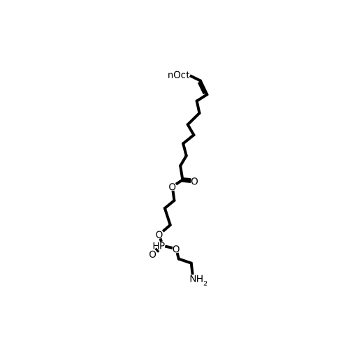 CCCCCCCC/C=C\CCCCCCCC(=O)OCCCO[PH](=O)OCCN